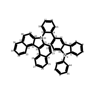 c1ccc(-n2c3ccccc3c3cc(-c4ccccc4-n4c5ccc6ccccc6c5c5c6ccccc6ccc54)ccc32)cc1